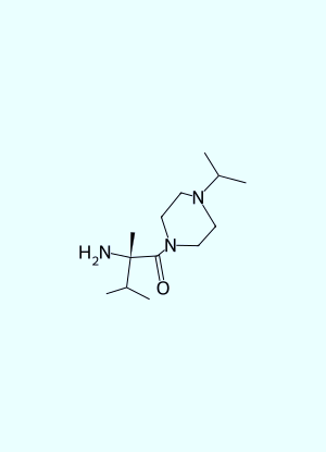 CC(C)N1CCN(C(=O)[C@@](C)(N)C(C)C)CC1